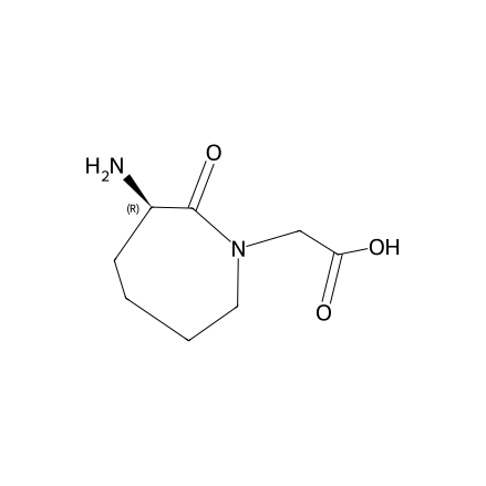 N[C@@H]1CCCCN(CC(=O)O)C1=O